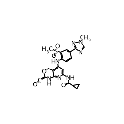 Cn1cnc(-c2ccc(Nc3cc(NC(=O)C4CC4)nc4c3COC(=C=O)N4)c(S(C)(=O)=O)c2)n1